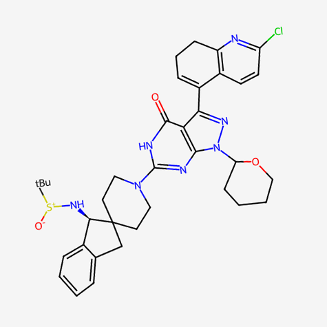 CC(C)(C)[S+]([O-])N[C@@H]1c2ccccc2CC12CCN(c1nc3c(c(C4=CCCc5nc(Cl)ccc54)nn3C3CCCCO3)c(=O)[nH]1)CC2